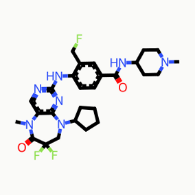 CN1CCC(NC(=O)c2ccc(Nc3ncc4c(n3)N(C3CCCC3)CC(F)(F)C(=O)N4C)c(CF)c2)CC1